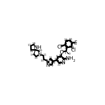 C[C@@H](Oc1cc(-c2cnn(CCN3CC[C@]4(CCCN4)C3)c2)cnc1N)c1c(Cl)ccc(F)c1Cl